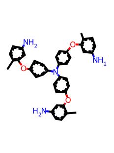 Cc1ccc(N)cc1Oc1ccc(N(c2ccc(Oc3cc(N)ccc3C)cc2)c2ccc(Oc3cc(N)ccc3C)cc2)cc1